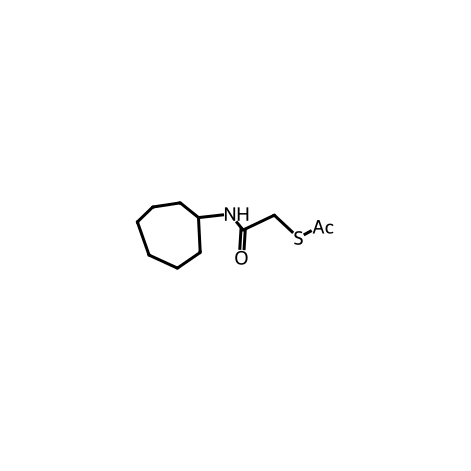 CC(=O)SCC(=O)NC1CCCCCC1